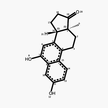 C[C@]12CCc3c(cc(O)c4cc(O)ccc34)[C@@H]1CCC2=O